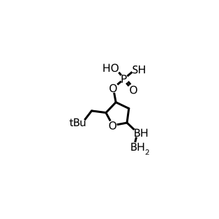 BBC1CC(OP(=O)(O)S)C(CC(C)(C)C)O1